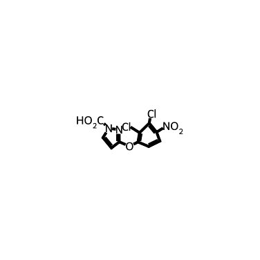 O=C(O)n1ccc(Oc2ccc([N+](=O)[O-])c(Cl)c2Cl)n1